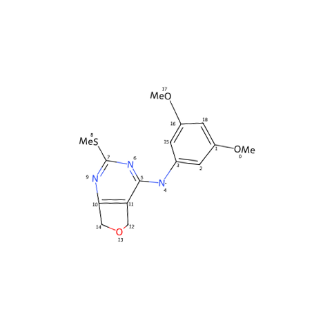 COc1cc([N]c2nc(SC)nc3c2COC3)cc(OC)c1